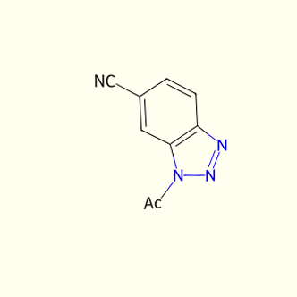 CC(=O)n1nnc2ccc(C#N)cc21